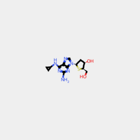 Nc1nc(NC2CC2)c2ncn([C@@H]3C[C@H](O)[C@@H](CO)S3)c2n1